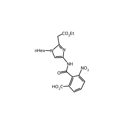 CCCCCCn1cc(NC(=O)c2c(C(=O)O)cccc2[N+](=O)[O-])nc1CC(=O)OCC